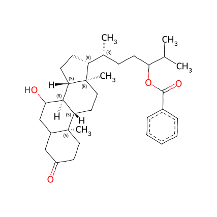 CC(C)C(CC[C@@H](C)[C@H]1CC[C@H]2[C@@H]3C(O)CC4CC(=O)CC[C@]4(C)[C@H]3CC[C@]12C)OC(=O)c1ccccc1